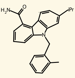 Cc1ccccc1Cn1c2cc(C(C)C)c[c]c2c2c(C(N)=O)cccc21